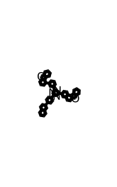 c1cc(-c2nc(-c3ccc(-c4ccc5ccccc5c4)cc3)nc(-c3ccc4c(ccc5oc6ccccc6c54)c3)n2)cc(-c2cccc3oc4ccccc4c23)c1